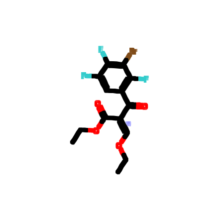 CCO/C=C(\C(=O)OCC)C(=O)c1cc(F)c(F)c(Br)c1F